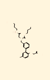 CCCCNC(=O)CN(Cc1cccc(-c2cc(Cl)ccc2OCC(=O)O)c1)C(=O)OCCCC